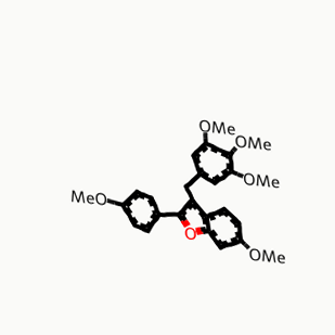 COc1ccc(-c2oc3cc(OC)ccc3c2Cc2cc(OC)c(OC)c(OC)c2)cc1